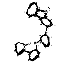 C1=CCNC(c2ccccc2Nc2cccc(-c3ccc4sc5ccccc5c4c3)c2)=C1